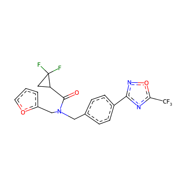 O=C(C1CC1(F)F)N(Cc1ccc(-c2noc(C(F)(F)F)n2)cc1)Cc1ccco1